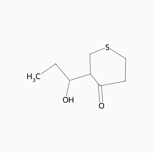 CCC(O)C1CSCCC1=O